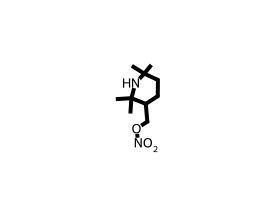 CC1(C)CCC(CO[N+](=O)[O-])C(C)(C)N1